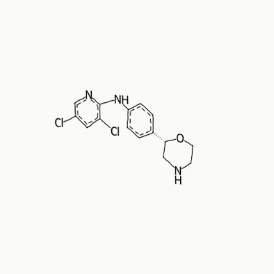 Clc1cnc(Nc2ccc([C@H]3CNCCO3)cc2)c(Cl)c1